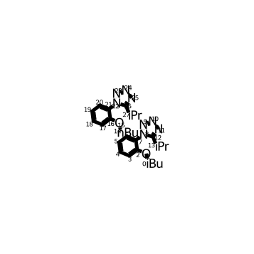 CCC(C)Oc1ccccc1-n1nnnc1C(C)C.CCCCOc1ccccc1-n1nnnc1C(C)C